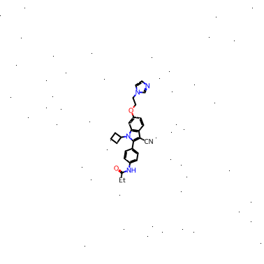 CCC(=O)Nc1ccc(-c2c(C#N)c3ccc(OCCn4ccnc4)cc3n2C2CCC2)cc1